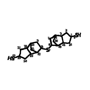 SC1CC2C3CC(SC4CC5CC4C4CC(S)CC54)C(C3)C2C1